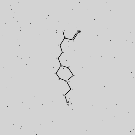 CC(C=N)CCCN1CCN(CCN)CC1